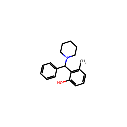 Cc1cccc(O)c1C(c1ccccc1)N1CCCCC1